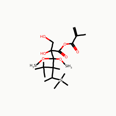 C=C(C)C(=O)OC(=O)C(O)(CO)C(O[SiH3])(O[SiH3])C(C)(C(C)[Si](C)(C)C)C(C)(C)C